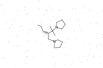 CC/C=C(/CN1CCCC1)C(C)(C)N1CCCC1